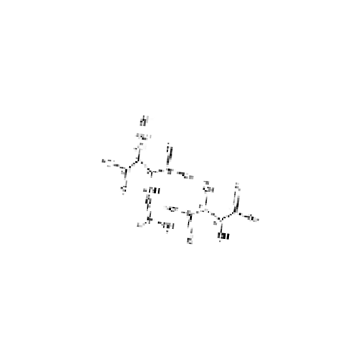 CC(=O)O.O=C([O-])C(O)C(O)C(=O)[O-].O=C([O-])C(O)C(O)C(=O)[O-].[Al+3].[Na+]